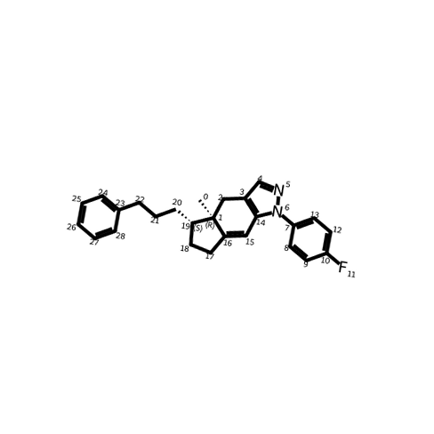 C[C@]12Cc3cnn(-c4ccc(F)cc4)c3C=C1CC[C@@H]2CCCc1ccccc1